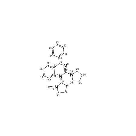 CN1CCCC1=NC(=NC(c1ccccc1)c1ccccc1)N1CCCC1